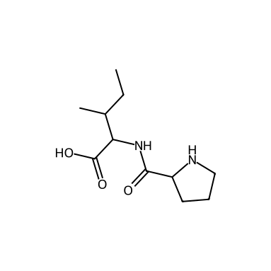 CCC(C)C(NC(=O)C1CCCN1)C(=O)O